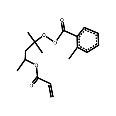 C=CC(=O)OC(C)CC(C)(C)OOC(=O)c1ccccc1C